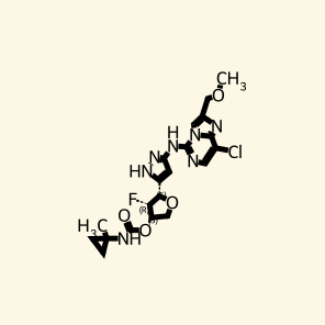 COCc1cn2c(Nc3cc([C@@H]4OC[C@H](OC(=O)NC5(C)CC5)[C@@H]4F)[nH]n3)ncc(Cl)c2n1